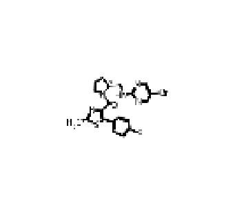 Cc1nc(C(=O)N2CCC[C@H]2CNc2ncc(Br)cn2)c(-c2ccc(F)cc2)s1